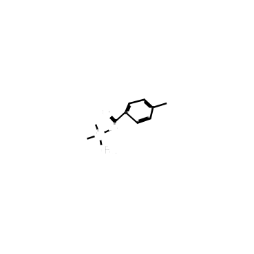 Cc1ccc(C(=O)O[Si](C)(C)C(C)(C)C)cc1